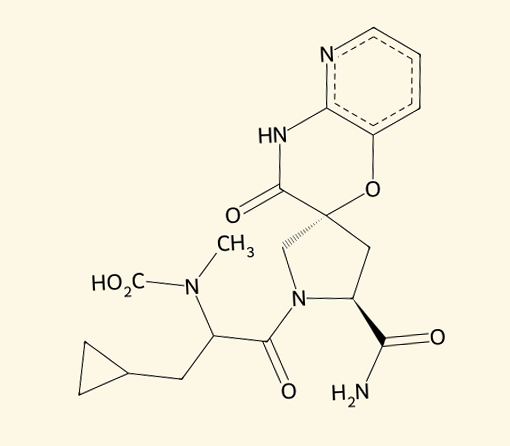 CN(C(=O)O)C(CC1CC1)C(=O)N1C[C@@]2(C[C@H]1C(N)=O)Oc1cccnc1NC2=O